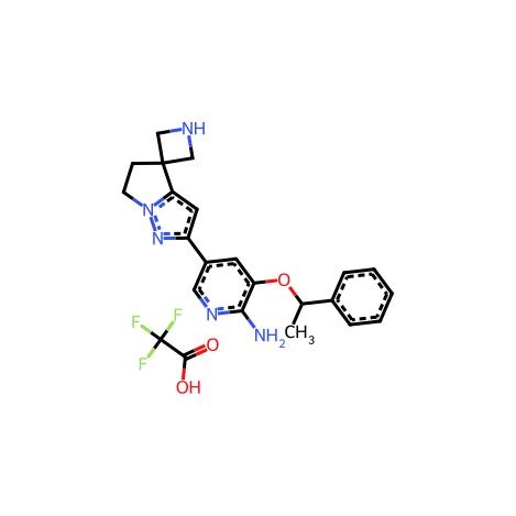 CC(Oc1cc(-c2cc3n(n2)CCC32CNC2)cnc1N)c1ccccc1.O=C(O)C(F)(F)F